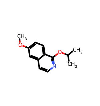 COc1ccc2c(OC(C)C)nccc2c1